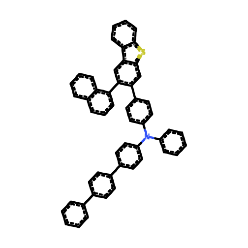 c1ccc(-c2ccc(-c3ccc(N(c4ccccc4)c4ccc(-c5cc6sc7ccccc7c6cc5-c5cccc6ccccc56)cc4)cc3)cc2)cc1